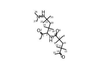 CC(=O)C(NC(=O)C(C)(C)CC(C)(C)C(C)=O)C(C)(C)CC(C)(C)NN(C)C